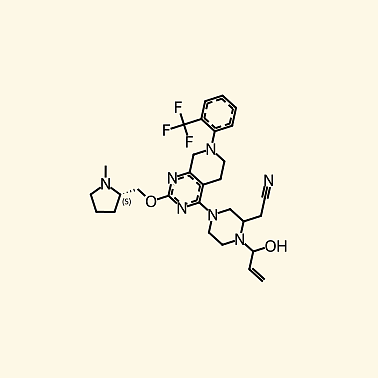 C=CC(O)N1CCN(c2nc(OC[C@@H]3CCCN3C)nc3c2CCN(c2ccccc2C(F)(F)F)C3)CC1CC#N